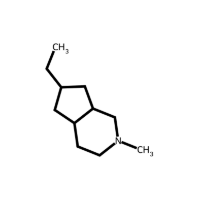 CCC1CC2CCN(C)CC2C1